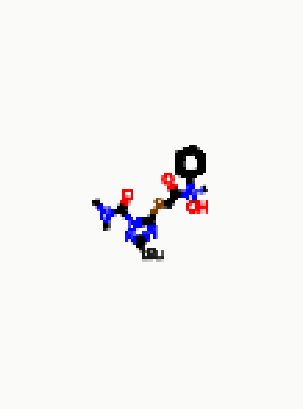 CN(C)C(=O)n1nc(C(C)(C)C)nc1SCC(=O)[N+](C)(O)c1ccccc1